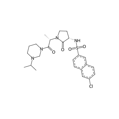 CC(C)N1CCCN(C(=O)[C@H](C)N2CC[C@H](NS(=O)(=O)c3ccc4cc(Cl)ccc4c3)C2=O)C1